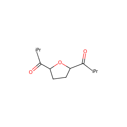 CC(C)C(=O)C1CCC(C(=O)C(C)C)O1